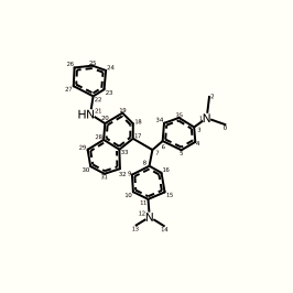 CN(C)c1ccc(C(c2ccc(N(C)C)cc2)c2ccc(Nc3ccccc3)c3ccccc23)cc1